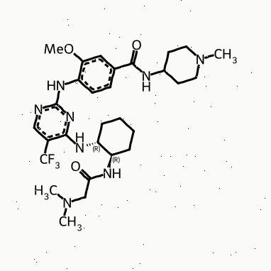 COc1cc(C(=O)NC2CCN(C)CC2)ccc1Nc1ncc(C(F)(F)F)c(N[C@@H]2CCCC[C@H]2NC(=O)CN(C)C)n1